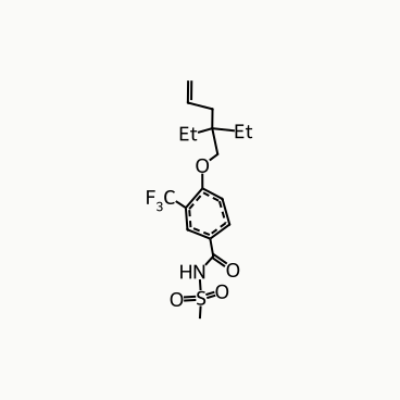 C=CCC(CC)(CC)COc1ccc(C(=O)NS(C)(=O)=O)cc1C(F)(F)F